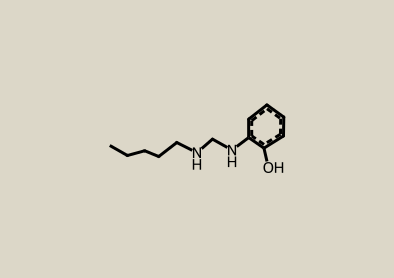 CCCCCNCNc1ccccc1O